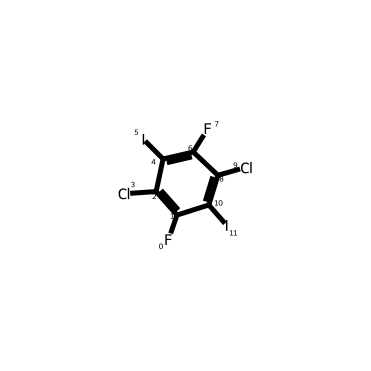 Fc1c(Cl)c(I)c(F)c(Cl)c1I